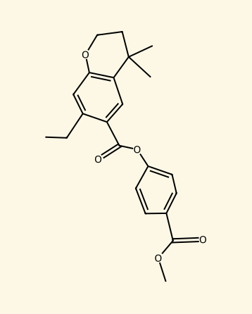 CCc1cc2c(cc1C(=O)Oc1ccc(C(=O)OC)cc1)C(C)(C)CCO2